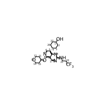 O[C@H]1CC[C@H](c2cnc(OC3CCOCC3)c3cnc(NCCC(F)(F)F)nc32)CC1